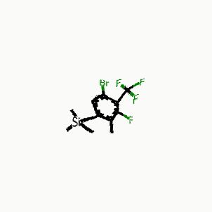 Cc1c([Si](C)(C)C)cc(Br)c(C(F)(F)F)c1F